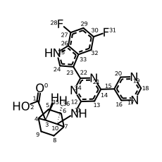 O=C(O)[C@H]1C2CCC(CC2)[C@@H]1Nc1cc(-c2cncnc2)nc(-c2c[nH]c3c(F)cc(F)cc23)n1